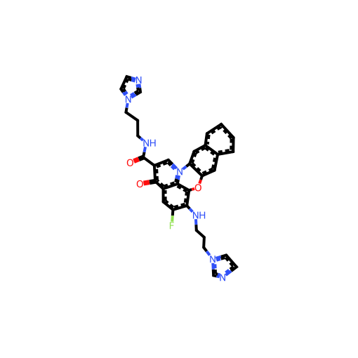 O=C(NCCCn1ccnc1)c1cn2c3c(c(NCCCn4ccnc4)c(F)cc3c1=O)Oc1cc3ccccc3cc1-2